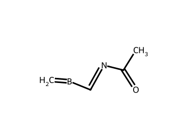 C=BC=NC(C)=O